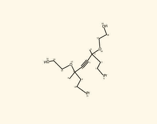 CC(C)CCC(C)(C#CC(C)(CCC(C)C)OCCO)OCCO